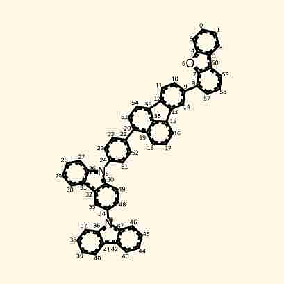 c1ccc2c(c1)oc1c(-c3ccc4c(c3)-c3cccc5c(-c6ccc(-n7c8ccccc8c8cc(-n9c%10ccccc%10c%10ccccc%109)ccc87)cc6)ccc-4c35)cccc12